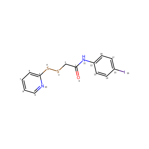 O=C(CSSc1ccccn1)Nc1ccc(I)cc1